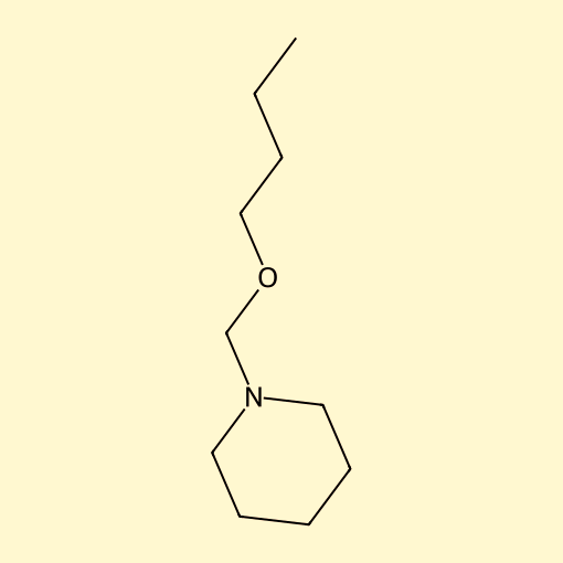 CCCCOCN1CCCCC1